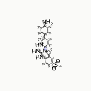 COc1cc(S(C)(=O)=O)ccc1NC(=N)/N=c1/ccc(-c2ccc(N)cc2)c[nH]1